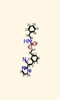 N#CC(=Cc1cccc(CCOC(=O)NCCc2ccccc2)c1)c1ncccn1